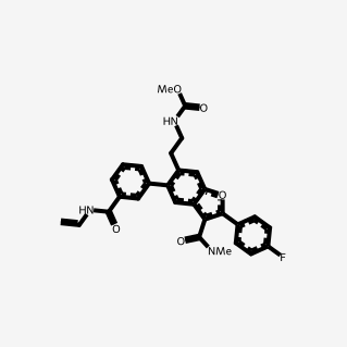 C=CNC(=O)c1cccc(-c2cc3c(C(=O)NC)c(-c4ccc(F)cc4)oc3cc2CCNC(=O)OC)c1